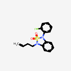 C=CCCN1c2ccccc2N(c2ccccc2F)S1(=O)=O